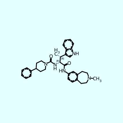 C[C@H](c1c[nH]c2ccccc12)[C@@H](NC(=O)N1CCC(c2ccccc2)CC1)C(=O)Nc1ccc2c(c1)CCN(C)CC2